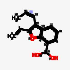 C=Cc1oc2c(B(O)O)cccc2c1/C=C\C